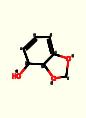 OC1C=CC=C2OCOC21